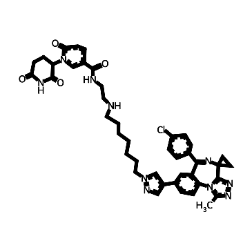 Cc1nnc2n1-c1ccc(-c3cnn(CCCCCCCNCCNC(=O)c4ccc(=O)n(C5CCC(=O)NC5=O)c4)c3)cc1C(c1ccc(Cl)cc1)=NC21CC1